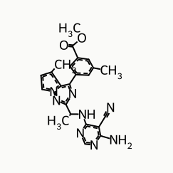 COC(=O)c1cc(C)cc(-c2nc(C(C)Nc3ncnc(N)c3C#N)nn3ccc(C)c23)c1